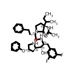 CCC(C)[C@@]1(NC(C)=O)CCN([C@@H](CCc2ccccc2)C(=O)N[C@@H](Cc2cc(F)cc(F)c2)[C@H](O)[C@H]2C[C@H](Oc3ccccc3)CN2)C1=O